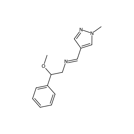 COC(CN=Cc1cnn(C)c1)c1ccccc1